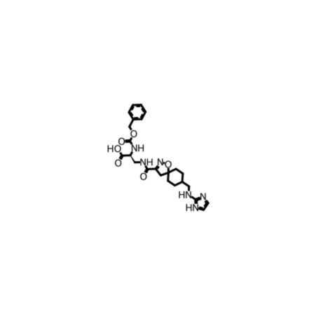 O=C(N[C@@H](CNC(=O)C1=NOC2(CCC(CNc3ncc[nH]3)CC2)C1)C(=O)O)OCc1ccccc1